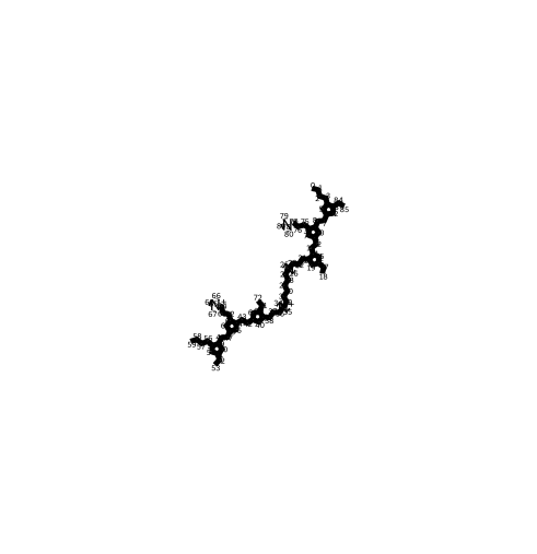 CCCCC1CC(CCC2CC(CCC3CC(CC)CC3CCC[N+](C)(C)CCCCCC[N+](C)(C)CCCC3CC(CCC4CC(CCC5CC(CC)CC5CCCC)CC4CCC[N+](C)(C)C)CC3CC)CC2CCC[N+](C)(C)C)CC1CC